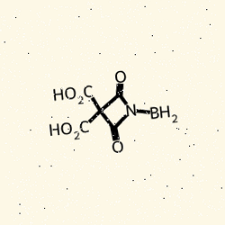 BN1C(=O)C(C(=O)O)(C(=O)O)C1=O